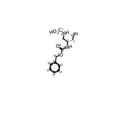 CC(C)C[C@@H](CNC(=O)O)NC(=O)OCc1ccccc1